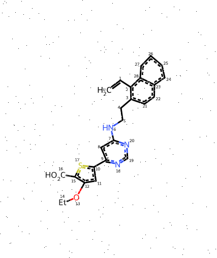 C=Cc1c(CCNc2cc(-c3cc(OCC)c(C(=O)O)s3)ncn2)ccc2ccccc12